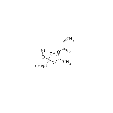 C=CC(=O)OC(C)O[Si](C)(CCCCCCC)OCC